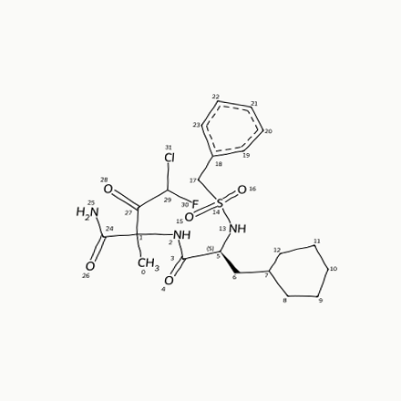 CC(NC(=O)[C@H](CC1CCCCC1)NS(=O)(=O)Cc1ccccc1)(C(N)=O)C(=O)C(F)Cl